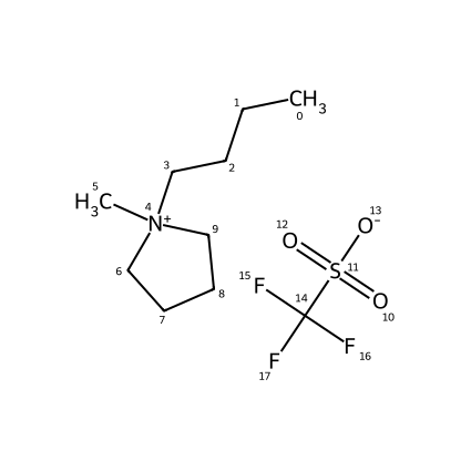 CCCC[N+]1(C)CCCC1.O=S(=O)([O-])C(F)(F)F